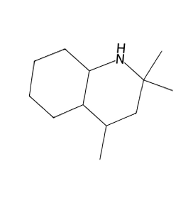 CC1CC(C)(C)NC2CCCCC12